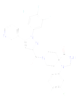 O=C(c1cc(-c2cccnc2)n(-c2cc(F)c(F)c(F)c2)n1)N1CCC2(CC1)C(=O)NCN2c1ccc(F)c(Cl)c1